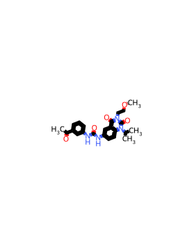 COCCn1c(=O)c2cc(NC(=O)Nc3cccc(C(C)=O)c3)ccc2n(C(C)C)c1=O